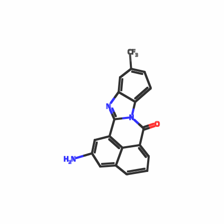 Nc1cc2cccc3c(=O)n4c5ccc(C(F)(F)F)cc5nc4c(c1)c23